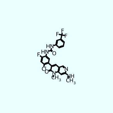 CNc1cc2c(cn1)cc(-c1cc(NC(=O)Nc3cccc(C(F)(F)F)c3)c(F)cc1Cl)c(=O)n2C